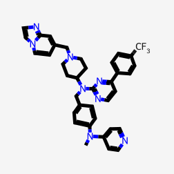 CN(c1ccncc1)c1ccc(CN(c2nccc(-c3ccc(C(F)(F)F)cc3)n2)C2CCN(Cc3ccn4ccnc4c3)CC2)cc1